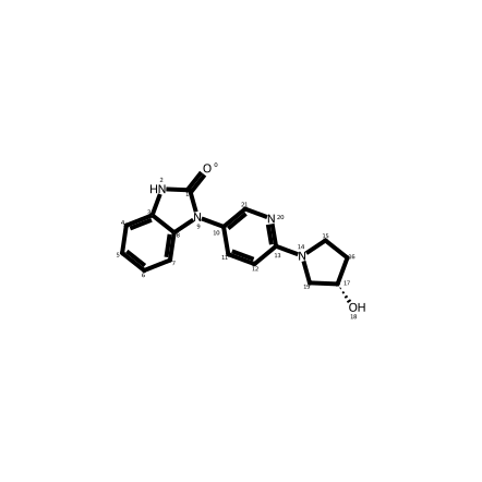 O=c1[nH]c2ccccc2n1-c1ccc(N2CC[C@H](O)C2)nc1